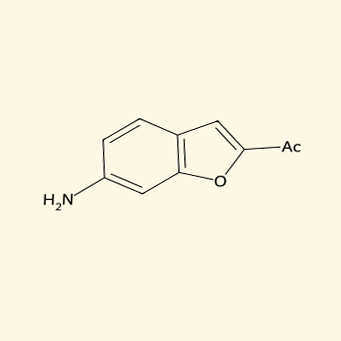 CC(=O)c1cc2ccc(N)cc2o1